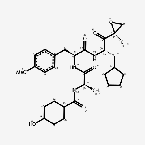 COc1ccc(C[C@H](NC(=O)[C@@H](C)NC(=O)C2CCC(O)CC2)C(=O)N[C@@H](CC2CCCC2)C(=O)[C@]2(C)CO2)cc1